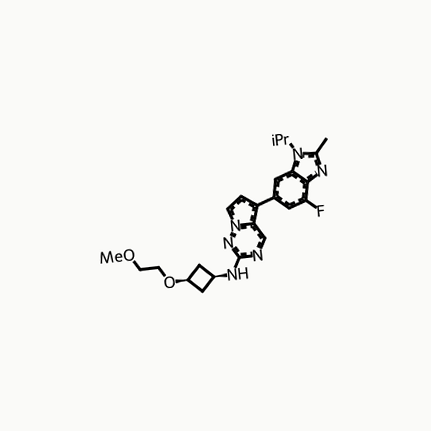 COCCO[C@H]1C[C@@H](Nc2ncc3c(-c4cc(F)c5nc(C)n(C(C)C)c5c4)ccn3n2)C1